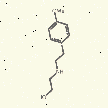 COc1ccc(CCNCCO)cc1